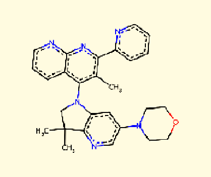 Cc1c(-c2ccccn2)nc2ncccc2c1N1CC(C)(C)c2ncc(N3CCOCC3)cc21